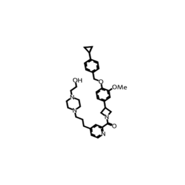 COc1cc(C2CN(C(=O)c3cc(CCCN4CCN(CCO)CC4)ccn3)C2)ccc1OCc1ccc(C2CC2)cc1